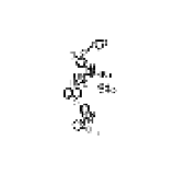 C[C@H]1CCCCN1c1nnc2ccc(O[C@@H]3CC[C@H](NC(=O)Nc4cc(C(C)(C)C)nn4-c4ccc(Cl)c(OCCN5CCOCC5)c4)c4ccccc43)cn12.O=CO